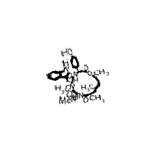 CN[C@@H]1NC(=O)[C@@H](C)C/C(C)=C/CC[C@H](C)OC(=O)C[C@H](c2ccc(O)cc2)NC(=O)[C@@H](Cc2c[nH]c3ccccc23)N(C)C1=O